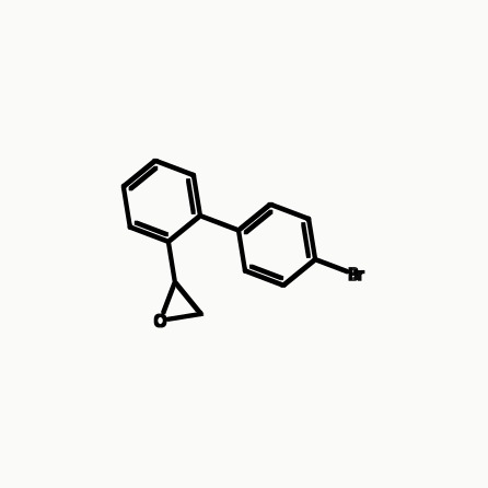 Brc1ccc(-c2ccccc2C2CO2)cc1